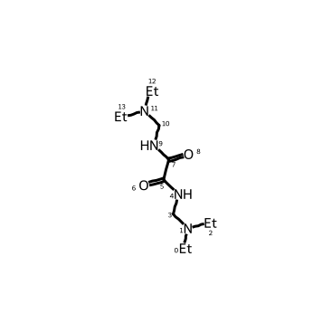 CCN(CC)CNC(=O)C(=O)NCN(CC)CC